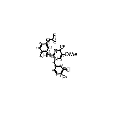 COc1cn(Cc2ccc(F)c(Cl)c2)c(Nc2cc(OC(F)F)ccc2C)nc1=O